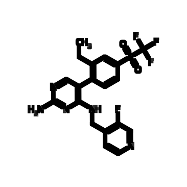 CCc1cc(S(=O)(=O)C(F)(F)F)ccc1-c1cnc(N)nc1NCc1ccncc1F